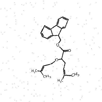 CC(C)=CCOC(CC=C(C)C)C(=O)OCC1c2ccccc2-c2ccccc21